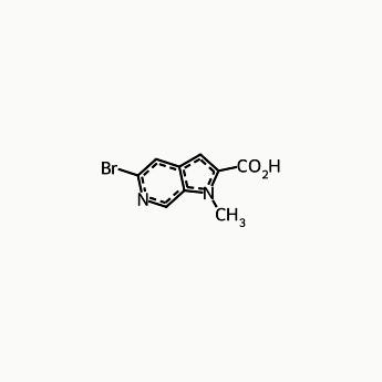 Cn1c(C(=O)O)cc2cc(Br)ncc21